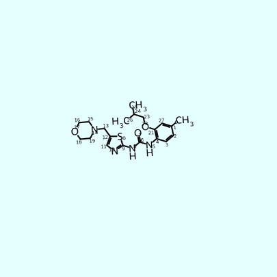 Cc1ccc(NC(=O)Nc2ncc(CN3CCOCC3)s2)c(OCC(C)C)c1